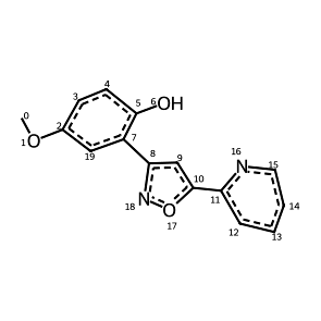 COc1ccc(O)c(-c2cc(-c3ccccn3)on2)c1